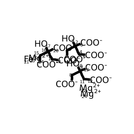 O=C([O-])CC(O)(CC(=O)[O-])C(=O)[O-].O=C([O-])CC(O)(CC(=O)[O-])C(=O)[O-].O=C([O-])CC(O)(CC(=O)[O-])C(=O)[O-].[Fe+3].[Mg+2].[Mg+2].[Mg+2]